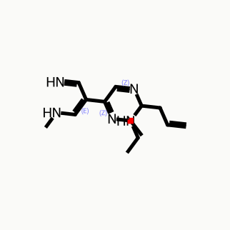 C=CCC(\N=C/C(=N\CC)C(/C=N)=C/NC)NCC